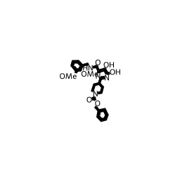 COc1cccc(CNC(=O)c2nc(C3CCN(C(=O)OCc4ccccc4)CC3)nc(O)c2O)c1OC